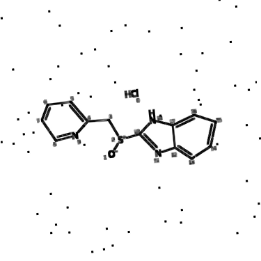 Cl.[O-][S+](Cc1ccccn1)c1nc2ccccc2[nH]1